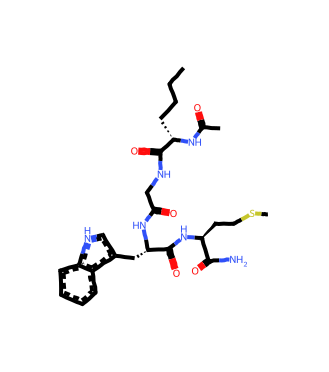 CCCC[C@H](NC(C)=O)C(=O)NCC(=O)N[C@@H](Cc1c[nH]c2ccccc12)C(=O)N[C@@H](CCSC)C(N)=O